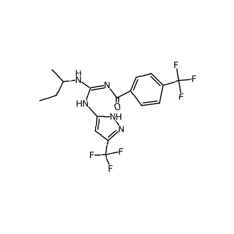 CCC(C)N/C(=N/C(=O)c1ccc(C(F)(F)F)cc1)Nc1cc(C(F)(F)F)n[nH]1